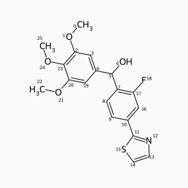 COc1cc(C(O)c2ccc(-c3nccs3)cc2F)cc(OC)c1OC